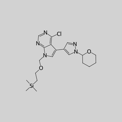 C[Si](C)(C)CCOCn1cc(-c2cnn(C3CCCCO3)c2)c2c(Cl)ncnc21